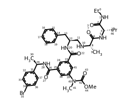 CCNC(=O)[C@@H](NC(=O)[C@H](C)NC[C@H](Cc1ccccc1)NC(=O)c1cc(C(=O)N[C@H](C)c2ccc(Br)cc2)cc(N(C)C(=O)OC)c1)C(C)C